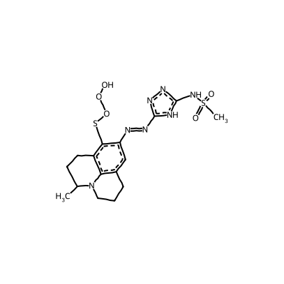 CC1CCc2c(SOOO)c(N=Nc3nnc(NS(C)(=O)=O)[nH]3)cc3c2N1CCC3